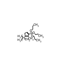 CCCO[Si](OCCC)(OCCC)C1=CC[C]([Pt]([CH3])([CH3])[CH3])=C1C